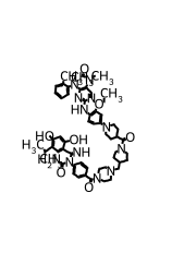 CCOc1cc(N2CCC(C(=O)N3CCC(CN4CCN(C(=O)c5ccc(N(C(=N)c6cc(C(C)C)c(O)cc6O)C(N)=O)cc5)CC4)CC3)CC2)ccc1Nc1ncc(N(C)C=O)c(N(C)c2ccccc2C)n1